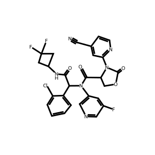 N#Cc1ccnc(N2C(=O)OCC2C(=O)N(c2cncc(F)c2)C(C(=O)NC2CC(F)(F)C2)c2ccccc2Cl)c1